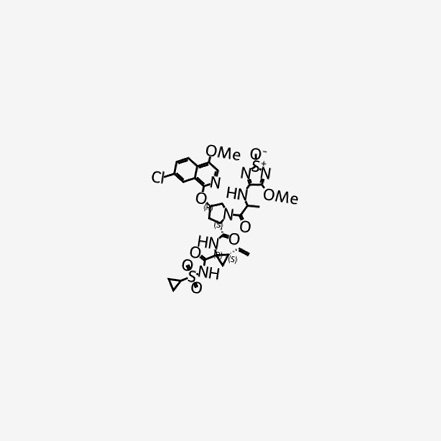 C=C[C@@H]1C[C@]1(NC(=O)[C@@H]1C[C@@H](Oc2ncc(OC)c3ccc(Cl)cc23)CN1C(=O)C(C)Nc1n[s+]([O-])nc1OC)C(=O)NS(=O)(=O)C1CC1